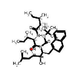 CC[C@H](C)[C@H](N)C(=O)N[C@H](C(=O)N(C(=O)OC(C)(C)C)[C@@H](Cc1ccc2ccccc2c1)[C@@H](O)[C@@H](O)CC(C)C)[C@@H](C)CC